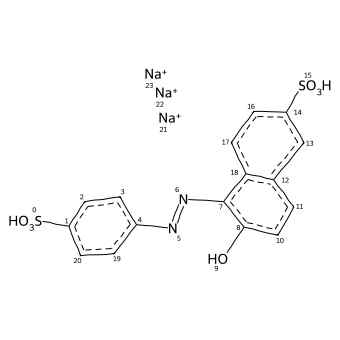 O=S(=O)(O)c1ccc(N=Nc2c(O)ccc3cc(S(=O)(=O)O)ccc23)cc1.[Na+].[Na+].[Na+]